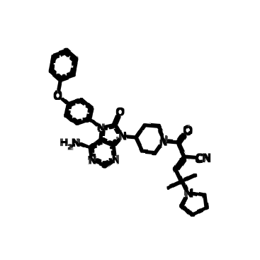 CC(C)(C=C(C#N)C(=O)N1CCC(n2c(=O)n(-c3ccc(Oc4ccccc4)cc3)c3c(N)ncnc32)CC1)N1CCCC1